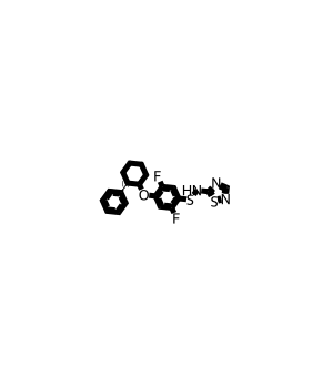 Fc1cc(SNc2ncns2)c(F)cc1OC1CCCC[C@H]1c1ccccc1